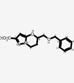 CCOC(=O)c1cc2n(n1)CCC(COCc1ccccc1)O2